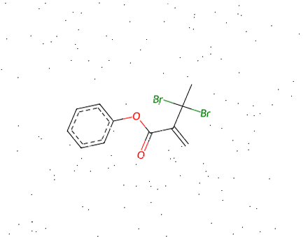 C=C(C(=O)Oc1ccccc1)C(C)(Br)Br